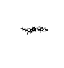 CCCCCc1ccc(-c2ccc(CCc3ccc(CCC)cc3F)cc2)c(F)c1F